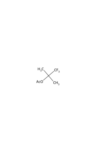 CC(=O)OC(C)(C)C(F)(F)F